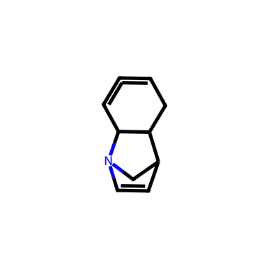 C1=CCC2C3C=CN(C3)C2C=1